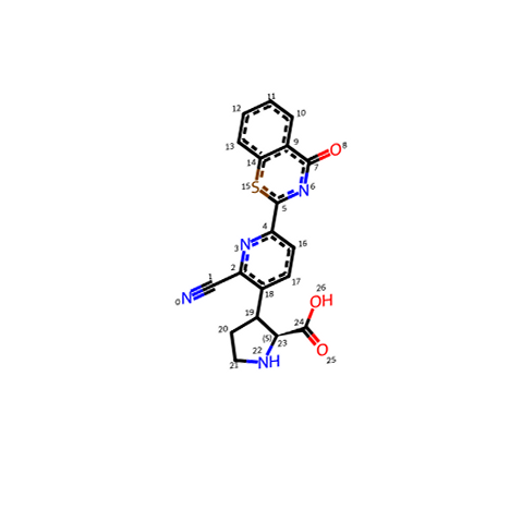 N#Cc1nc(-c2nc(=O)c3ccccc3s2)ccc1C1CCN[C@@H]1C(=O)O